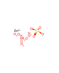 O.O.O.O.O.O=S(=O)([O-])[O-].[Zn+2]